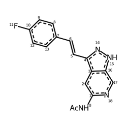 CC(=O)Nc1cc2c(C=Cc3ccc(F)cc3)n[nH]c2cn1